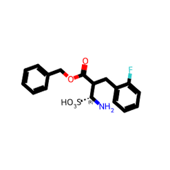 N[C@@H](C(Cc1ccccc1F)C(=O)OCc1ccccc1)S(=O)(=O)O